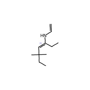 C=CN/C(=C/C(C)(C)CC)CC